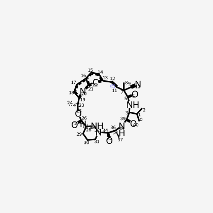 CC(C)C1NC(=O)C(C)(C#N)/C=C/c2ccc3ccc(nc3c2)[C@@H](C)OC(=O)[C@@H]2CCCN(N2)C(=O)[C@H](C)NC1=O